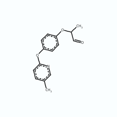 Cc1ccc(Oc2ccc(OC(C)C=O)cc2)nc1